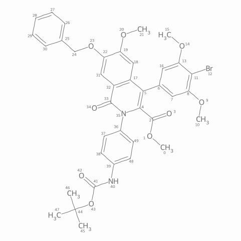 COC(=O)c1c(-c2cc(OC)c(Br)c(OC)c2)c2cc(OC)c(OCc3ccccc3)cc2c(=O)n1-c1ccc(NC(=O)OC(C)(C)C)cc1